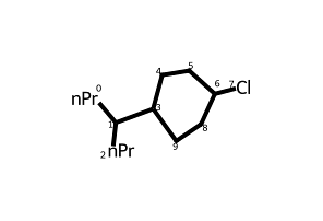 CCCC(CCC)C1CCC(Cl)CC1